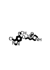 COc1cc2c(Cl)ncnc2cc1OCCCC1CNCCS1(=O)=O